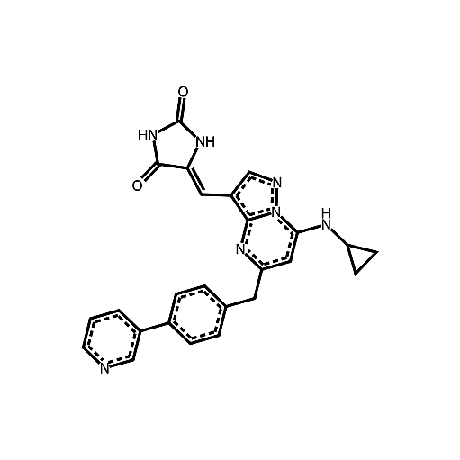 O=C1NC(=O)/C(=C/c2cnn3c(NC4CC4)cc(Cc4ccc(-c5cccnc5)cc4)nc23)N1